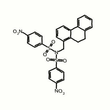 O=[N+]([O-])c1ccc(S(=O)(=O)N(Cc2cccc3c2CCc2ccccc2-3)S(=O)(=O)c2ccc([N+](=O)[O-])cc2)cc1